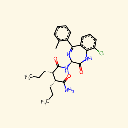 Cc1ccccc1C1=N[C@H](NC(=O)[C@@H](CCC(F)(F)F)[C@@H](CCC(F)(F)F)C(N)=O)C(=O)Nc2c(Cl)cccc21